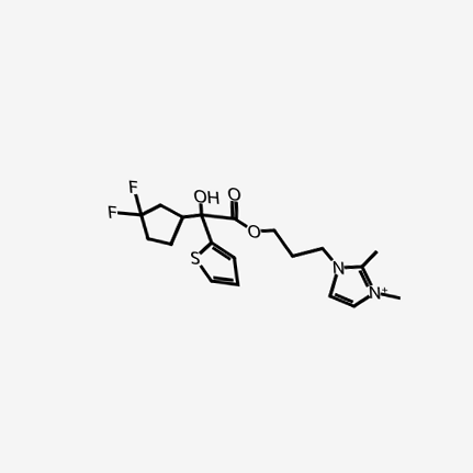 Cc1n(CCCOC(=O)C(O)(c2cccs2)C2CCC(F)(F)C2)cc[n+]1C